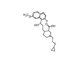 COc1ccc2ncc(F)c(C(O)CCC3CCN(CCSC4CC4)CC3C(=O)O)c2c1